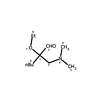 CCCCC(C=O)(CN(C)C)OCC